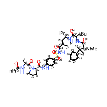 CCCC(=O)N[C@@H](C)C(=O)N1CCC[C@H]1C(=O)Nc1ccc(S(=O)(=O)NC(=O)/C(C)=C/[C@H](C(C)C)N(C)C(=O)C(NC(=O)[C@@H](NC)C(C)(C)c2ccccc2)C(C)(C)C)cc1